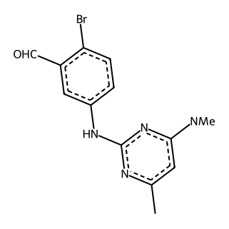 CNc1cc(C)nc(Nc2ccc(Br)c(C=O)c2)n1